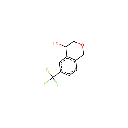 OC1COCc2ccc(C(F)(F)F)cc21